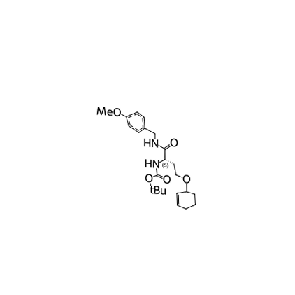 COc1ccc(CNC(=O)[C@H](CCOC2C=CCCC2)NC(=O)OC(C)(C)C)cc1